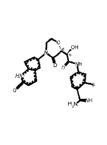 N=C(N)c1ccc(NC(=O)[C@H](O)[C@H]2OCCN(c3ccc4[nH]c(=O)ccc4c3)C2=O)cc1F